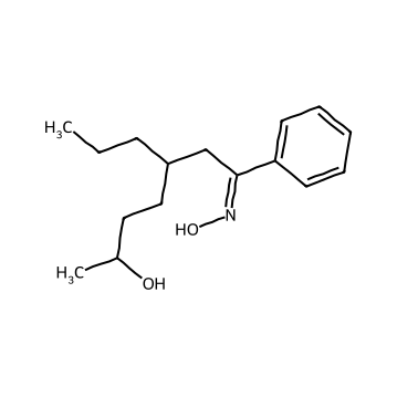 CCCC(CCC(C)O)CC(=NO)c1ccccc1